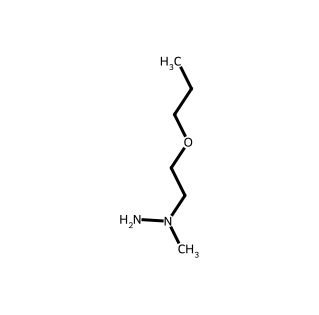 CCCOCCN(C)N